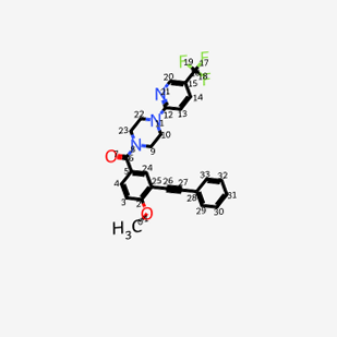 COc1ccc(C(=O)N2CCN(c3ccc(C(F)(F)F)cn3)CC2)cc1C#Cc1ccccc1